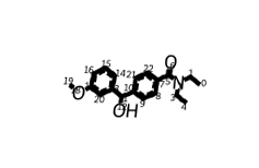 CCN(CC)C(=O)c1ccc(C(O)c2cccc(OC)c2)cc1